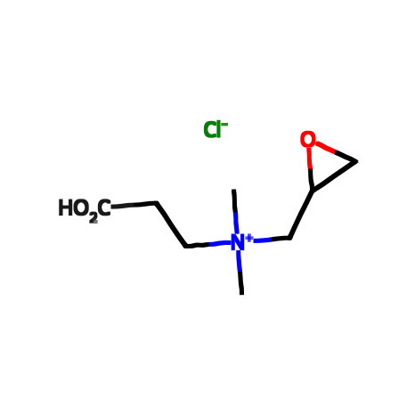 C[N+](C)(CCC(=O)O)CC1CO1.[Cl-]